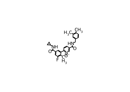 Cc1ccc(CNC(=O)c2ccc(-c3cc(C(=O)NC4CC4)cc(F)c3C)[n+]([O-])c2)cc1C